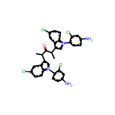 CC(C(=O)C(C)c1cn(-c2ccc(N)cc2Cl)c2ccc(Cl)cc12)c1cn(-c2ccc(N)cc2Cl)c2ccc(Cl)cc12